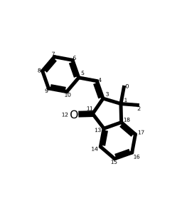 CC1(C)C(=Cc2ccccc2)C(=O)c2ccccc21